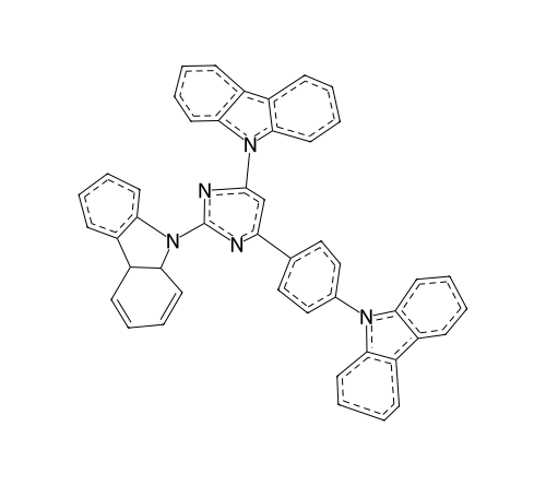 C1=CC2c3ccccc3N(c3nc(-c4ccc(-n5c6ccccc6c6ccccc65)cc4)cc(-n4c5ccccc5c5ccccc54)n3)C2C=C1